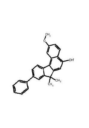 COc1ccc2c(O)cc3c(c2c1)-c1ccc(-c2ccccc2)cc1C3(C)C